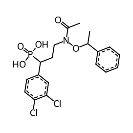 CC(=O)N(CCC(c1ccc(Cl)c(Cl)c1)P(=O)(O)O)OC(C)c1ccccc1